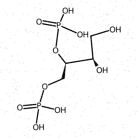 O=P(O)(O)OC[C@@H](OP(=O)(O)O)[C@H](O)CO